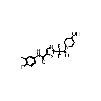 Cc1cc(NC(=O)c2cnc(C(F)(F)C(=O)N3CCC(O)CC3)s2)ccc1F